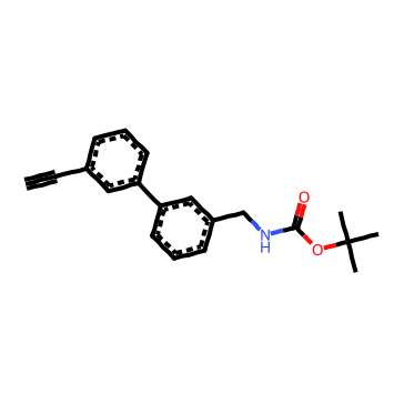 C#Cc1cccc(-c2cccc(CNC(=O)OC(C)(C)C)c2)c1